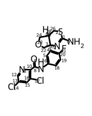 NC1=N[C@@]2(c3cc(NC(=O)c4ncc(Cl)cc4Cl)ccc3F)COC[C@H]2CS1